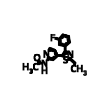 CCc1nc(-c2cccc(F)c2)c(-c2ccnc(NC(C)=O)c2)s1